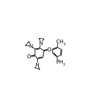 Cc1ccc(P)cc1.O=C1C=C(N2CC2)C(=O)C(N2CC2)=C1N1CC1